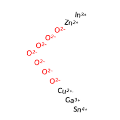 [Cu+2].[Ga+3].[In+3].[O-2].[O-2].[O-2].[O-2].[O-2].[O-2].[O-2].[Sn+4].[Zn+2]